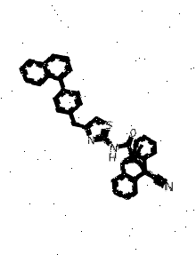 CC1(C(=O)Nc2nc(Cc3ccc(-c4cccc5ccccc45)cc3)cs2)CC2(C#N)c3ccccc3C1c1ccccc12